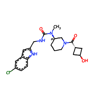 CN(C(=O)NCc1cc2cc(Cl)ccc2[nH]1)[C@@H]1CCCN(C(=O)[C@H]2C[C@H](O)C2)C1